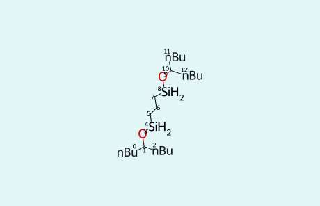 CCCCC(CCCC)O[SiH2]CCC[SiH2]OC(CCCC)CCCC